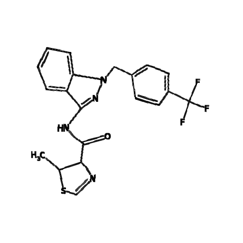 CC1SC=NC1C(=O)Nc1nn(Cc2ccc(C(F)(F)F)cc2)c2ccccc12